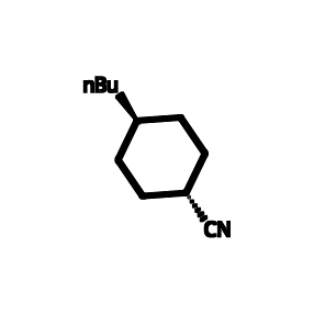 CCCC[C@H]1CC[C@H](C#N)CC1